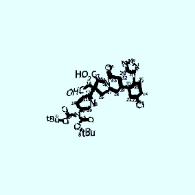 CC(C)(C)OC(=O)N(C(=O)OC(C)(C)C)c1ccc(C2(CC=O)Cc3cc(-c4cc(Cl)ccc4-n4cnnn4)cc(=O)n3[C@@H]2C(=O)O)nc1